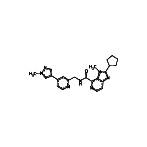 Cn1cc(-c2ccnc(CNC(=O)c3nccc4nc(C5CCCC5)n(C)c34)c2)cn1